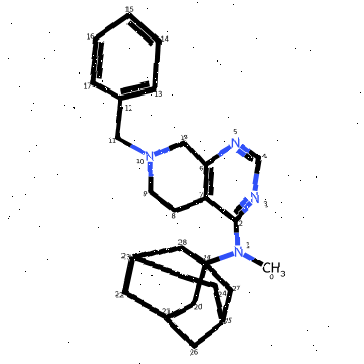 CN(c1ncnc2c1CCN(Cc1ccccc1)C2)C12CC3CC(CC(C3)C1)C2